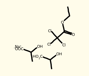 CC(O)C(=O)O.CC(O)C(=O)[O-].CCOC(=O)C(Cl)(Cl)Cl.[Na+]